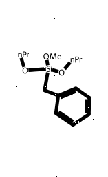 CCCO[Si](Cc1ccccc1)(OC)OCCC